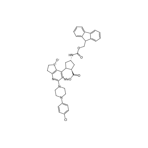 COC(=O)[C@@H]1C[C@@H](NC(=O)OCC2c3ccccc3-c3ccccc32)CC1c1nc(N2CCN(c3ccc(Cl)cc3)CC2)nc2c1[S+]([O-])CC2